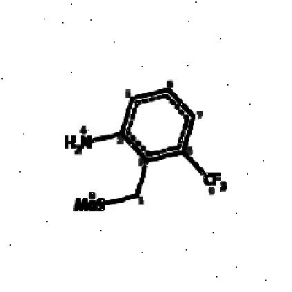 CSCc1c(N)cccc1C(F)(F)F